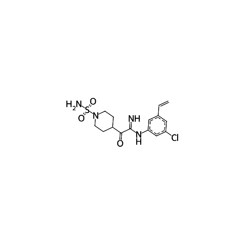 C=Cc1cc(Cl)cc(NC(=N)C(=O)C2CCN(S(N)(=O)=O)CC2)c1